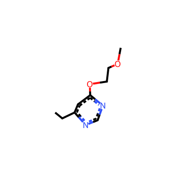 CCc1cc(OCCOC)ncn1